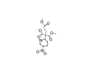 COC(=O)CCC(C(=O)OC)(C(=O)OC)c1ccc([N+](=O)[O-])cn1